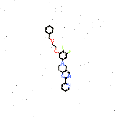 Fc1cc(N2CCc3nc(-c4ccccn4)ncc3C2)cc(OCCOCc2ccccc2)c1F